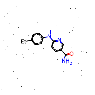 CCc1ccc(Nc2ccc(C(N)=O)cn2)cc1